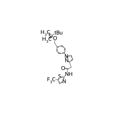 CC(C)(C)[Si](C)(C)OCc1ccc(-n2ccc(CC(=O)Nc3ncc(C(F)(F)F)s3)n2)cc1